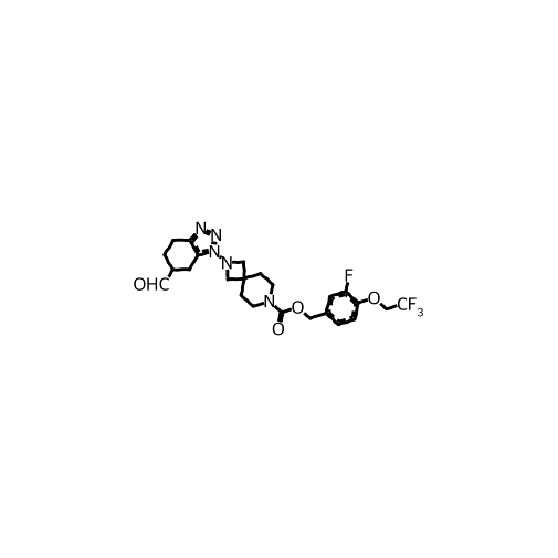 O=CC1CCc2nnn(N3CC4(CCN(C(=O)OCc5ccc(OCC(F)(F)F)c(F)c5)CC4)C3)c2C1